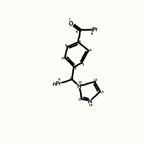 CCCC(c1ccc(C(=O)C(C)C)cc1)n1ccnc1